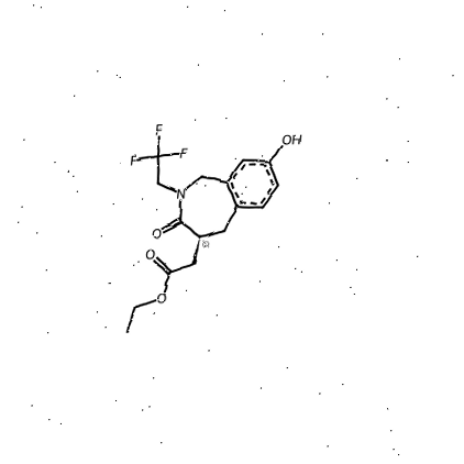 CCOC(=O)C[C@@H]1Cc2ccc(O)cc2CN(CC(F)(F)F)C1=O